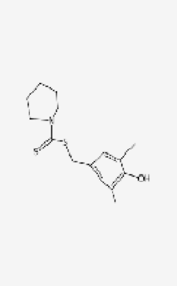 Cc1cc(CSC(=S)N2CCCCC2)cc(C)c1O